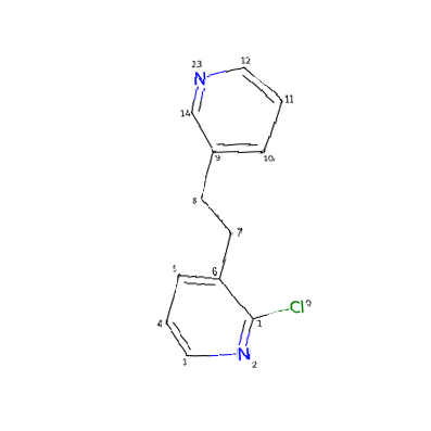 Clc1ncccc1CCc1cccnc1